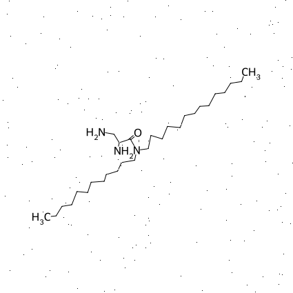 CCCCCCCCCCCCCCN(CCCCCCCCCCCC)C(=O)C(N)CN